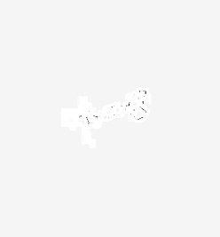 Cc1oc(N2CC3CN(C(=O)c4ncccc4-n4nccn4)CC3C2)nc1C(C)(C)O